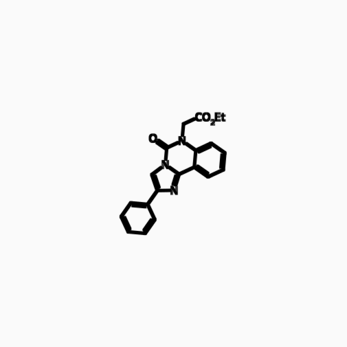 CCOC(=O)Cn1c(=O)n2cc(-c3ccccc3)nc2c2ccccc21